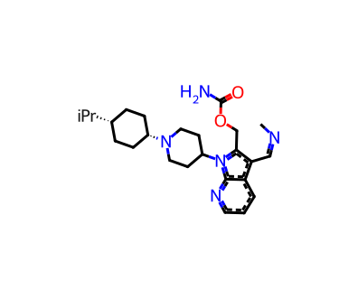 C/N=C\c1c(COC(N)=O)n(C2CCN([C@H]3CC[C@@H](C(C)C)CC3)CC2)c2ncccc12